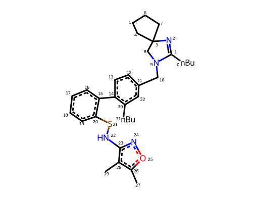 CCCCC1=NC2(CCCC2)CN1Cc1ccc(-c2ccccc2SNc2noc(C)c2C)c(CCCC)c1